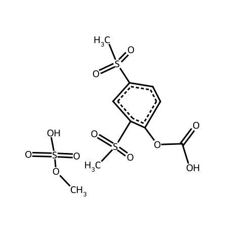 COS(=O)(=O)O.CS(=O)(=O)c1ccc(OC(=O)O)c(S(C)(=O)=O)c1